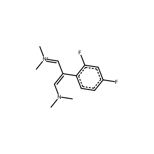 CN(C)/C=C(/C=[N+](C)C)c1ccc(F)cc1F